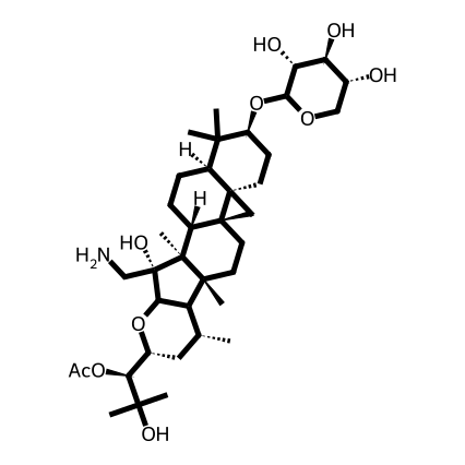 CC(=O)O[C@@H]([C@H]1C[C@@H](C)C2C(O1)[C@@](O)(CN)[C@@]1(C)[C@@H]3CC[C@H]4C(C)(C)[C@@H](OC5OC[C@@H](O)[C@H](O)[C@H]5O)CC[C@@]45C[C@@]35CC[C@]21C)C(C)(C)O